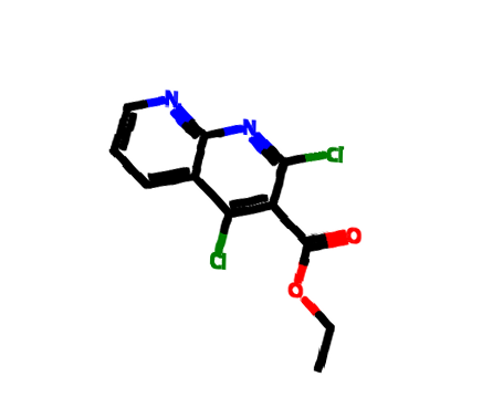 CCOC(=O)c1c(Cl)nc2ncccc2c1Cl